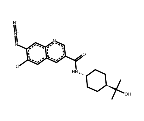 CC(C)(O)[C@H]1CC[C@H](NC(=O)c2cnc3cc(N=[N+]=[N-])c(Cl)cc3c2)CC1